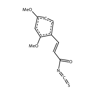 COc1ccc(C=CC(=O)N=C=S)c(OC)c1